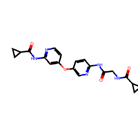 O=C(CNC(=O)C1CC1)Nc1ccc(Oc2ccnc(NC(=O)C3CC3)c2)cn1